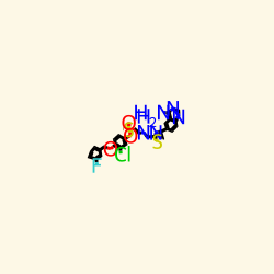 CS(=O)(=CCNCc1nc(-c2ccc3ncnc(N)c3c2)cs1)Oc1ccc(OCc2cccc(F)c2)c(Cl)c1